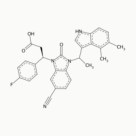 Cc1ccc2[nH]cc(C(C)n3c(=O)n([C@H](CC(=O)O)c4ccc(F)cc4)c4cc(C#N)ccc43)c2c1C